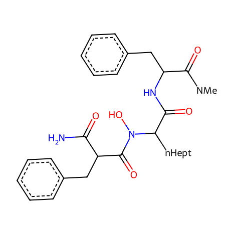 CCCCCCCC(C(=O)NC(Cc1ccccc1)C(=O)NC)N(O)C(=O)C(Cc1ccccc1)C(N)=O